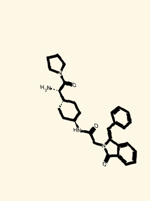 N[C@H](C(=O)N1CCCC1)[C@H]1CC[C@H](NC(=O)CN2C(=O)c3ccccc3/C2=C\c2ccccc2)CC1